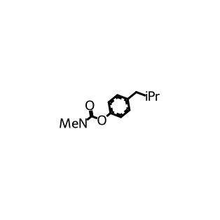 CNC(=O)Oc1ccc(CC(C)C)cc1